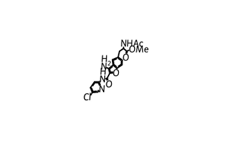 COC(=O)C(Cc1ccc2oc(C(=O)Nc3ccc(Cl)cn3)c(N)c2c1)NC(C)=O